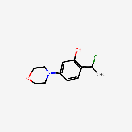 O=CC(Cl)c1ccc(N2CCOCC2)cc1O